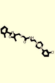 Cc1ccccc1-c1nc(CSCC(=O)NCCN2CCN(c3cccc(Cl)c3)CC2)c(C)o1